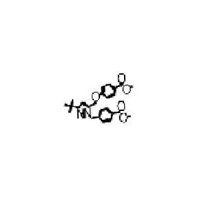 COC(=O)c1ccc(Cn2nc(C(C)(C)C)cc2COc2ccc(C(=O)OC)cc2)cc1